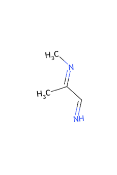 C/N=C(\C)C=N